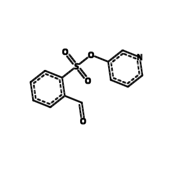 O=Cc1ccccc1S(=O)(=O)Oc1cccnc1